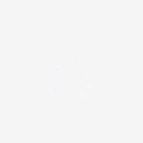 CCCc1nc2c(nc1C)C(N)=NS(=O)(=O)N2CC